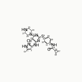 Cc1cc(Nc2nc(Sc3ccc(NC(=O)C4CC4)cc3)nc(N3CCNCC3)c2Cl)n[nH]1